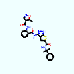 Cc1oncc1C(=O)Nc1ccccc1C(=O)Nc1n[nH]c2sc(C(=O)NC(C)(C)c3ccccc3)cc12